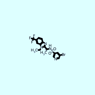 CCn1c([C@@H](C)NS(=O)(=O)c2cncc(Br)c2)nc2ccc(C(F)(F)F)cc21